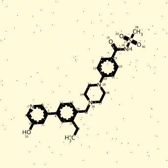 CCc1cc(-c2cncc(O)c2)ccc1CN1CCN(c2ccc(C(=O)NS(C)(=O)=O)cc2)CC1